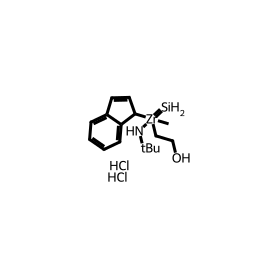 CC(C)(C)[NH][Zr]([CH3])(=[SiH2])([CH2]CO)[CH]1C=Cc2ccccc21.Cl.Cl